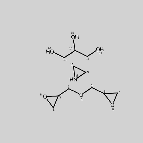 C(OCC1CO1)C1CO1.C1CN1.OCC(O)CO